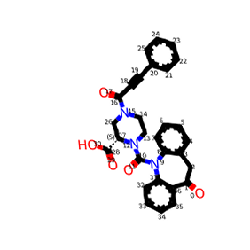 O=C1Cc2ccccc2N(C(=O)N2CCN(C(=O)C#Cc3ccccc3)C[C@H]2C(=O)O)c2ccccc21